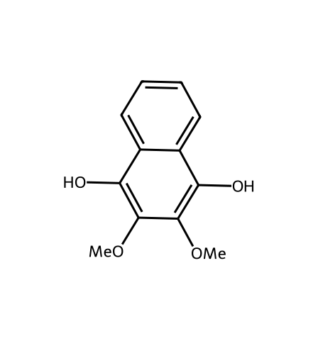 COc1c(OC)c(O)c2ccccc2c1O